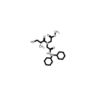 C1CCC(NC2CCCCC2)CC1.COC(=O)CN(CC(=O)O)C(=O)[C@H](C)CS